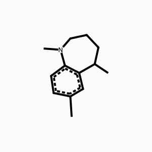 Cc1ccc2c(c1)C(C)CCCN2C